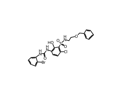 O=C(Nc1ccccc1Br)Nc1ccc(Cl)c(S(=O)(=O)NCCOCc2ccccc2)c1O